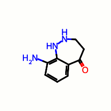 Nc1cccc2c1NNCCC2=O